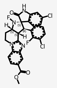 COC(=O)c1ccc2c(c1)nc1n2CC[C@H]2[C@@H]1[C@H](c1cccc(Cl)c1F)[C@]1(C(=O)Nc3cc(Cl)ccc31)N2F